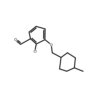 CC1CCC(COc2cccc(C=O)c2Cl)CC1